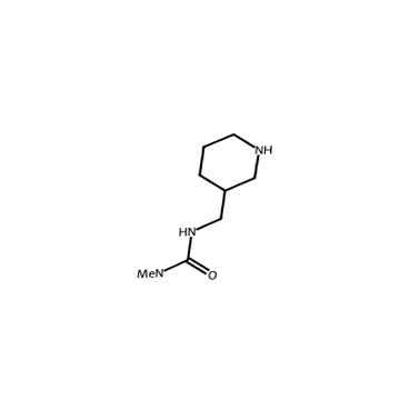 CNC(=O)NCC1CCCNC1